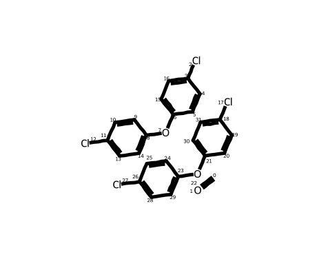 C=O.Clc1ccc(Oc2ccc(Cl)cc2)cc1.Clc1ccc(Oc2ccc(Cl)cc2)cc1